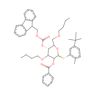 CCCCOCC1O[C@@H](Sc2cc(C(C)(C)C)ccc2C)C(OC(=O)c2ccccc2)C(OCCCC)[C@@H]1OC(=O)OCC1c2ccccc2-c2ccccc21